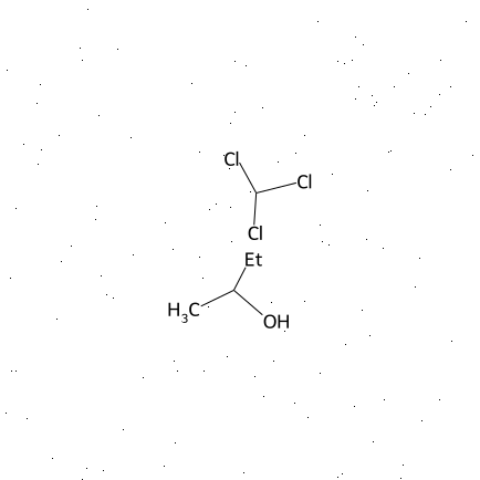 CCC(C)O.ClC(Cl)Cl